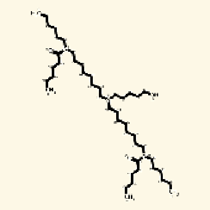 CCCCCCN(CCCCCCCCN(CCCCCO)CCCCCCCCN(CCCCCC)C(=O)CCCCC)C(=O)CCCCC